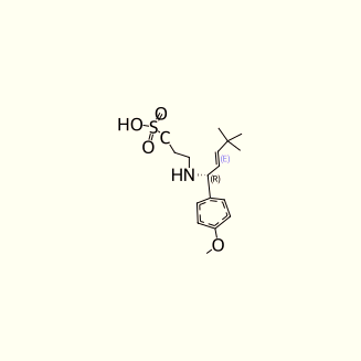 COc1ccc([C@@H](/C=C/C(C)(C)C)NCCCS(=O)(=O)O)cc1